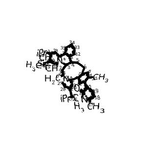 C=C1CC2C(CCc3cc(C)c4c(oc5nc(C)ccc54)c3-c3cc(C(C)C(C)C)cc[n+]31)c1ccccc1-c1cc(C(C)C)c([Si](C)(C)C)c[n+]12